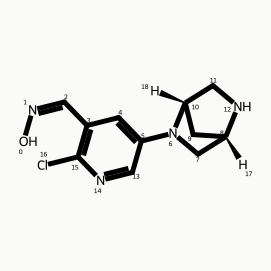 O/N=C\c1cc(N2C[C@@H]3C[C@H]2CN3)cnc1Cl